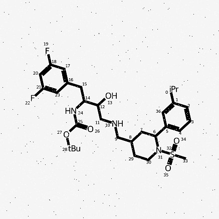 CC(C)c1cccc(C2CC(CNCC(O)C(Cc3cc(F)cc(F)c3)NC(=O)OC(C)(C)C)CCN2S(C)(=O)=O)c1